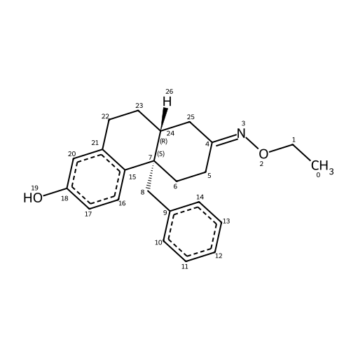 CCON=C1CC[C@@]2(Cc3ccccc3)c3ccc(O)cc3CC[C@@H]2C1